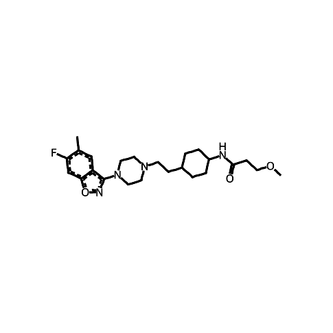 COCCC(=O)NC1CCC(CCN2CCN(c3noc4cc(F)c(C)cc34)CC2)CC1